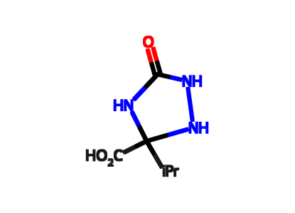 CC(C)C1(C(=O)O)NNC(=O)N1